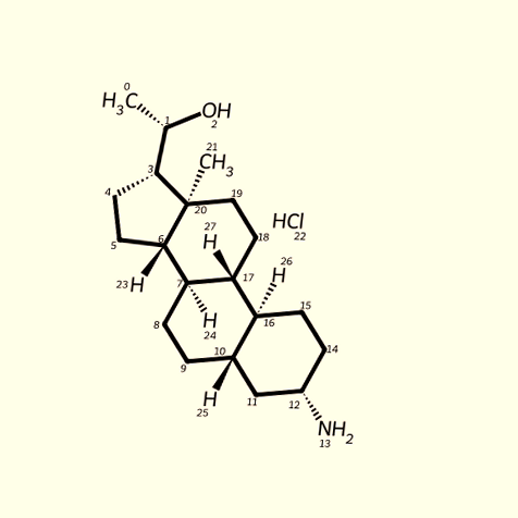 C[C@H](O)[C@H]1CC[C@H]2[C@@H]3CC[C@H]4C[C@@H](N)CC[C@@H]4[C@H]3CC[C@]12C.Cl